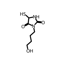 O=C1NC(S)C(=O)N1CCCCO